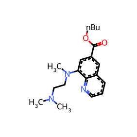 CCCCOC(=O)c1cc(N(C)CCN(C)C)c2ncccc2c1